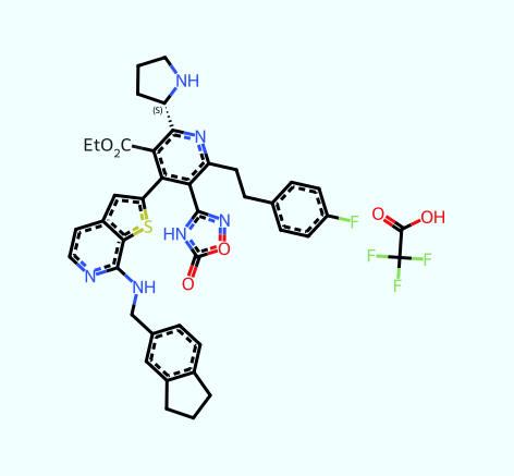 CCOC(=O)c1c([C@@H]2CCCN2)nc(CCc2ccc(F)cc2)c(-c2noc(=O)[nH]2)c1-c1cc2ccnc(NCc3ccc4c(c3)CCC4)c2s1.O=C(O)C(F)(F)F